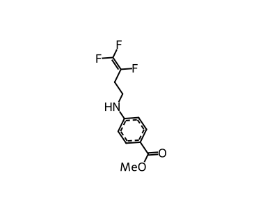 COC(=O)c1ccc(NCCC(F)=C(F)F)cc1